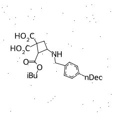 CCCCCCCCCCc1ccc(CNC2CC(C(=O)O)(C(=O)O)C2C(=O)OC(C)CC)cc1